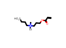 C=CC(=O)OCCC[N+](C)(CC)CCCS(=O)(=O)O